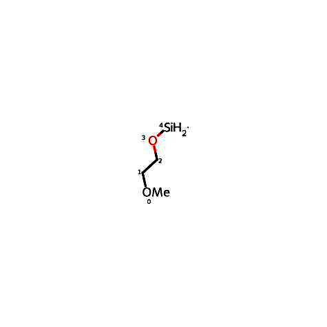 COCCO[SiH2]